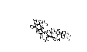 C=P(C)(C)CC[C@H]1OC(n2cnc3c(=O)[nH]c(C)nc32)[C@H](C)[C@@H]1O